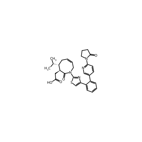 CC(C)[C@@H]1CC=CCN(c2nc(-c3ccccc3-c3ccc(N4CCCC4=O)nc3)cs2)C(=O)[C@H]1CC(=O)O